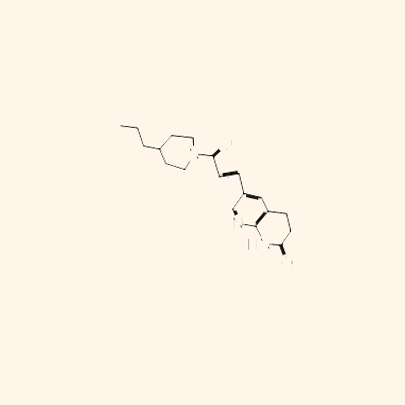 CCCC1CCN(C(=O)/C=C/c2cnc3c(c2)CCC(=O)N3)CC1